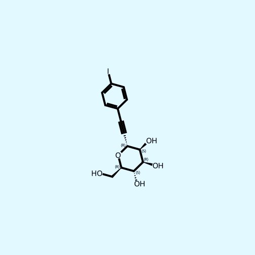 OC[C@H]1O[C@H](C#Cc2ccc(I)cc2)[C@@H](O)[C@@H](O)[C@@H]1O